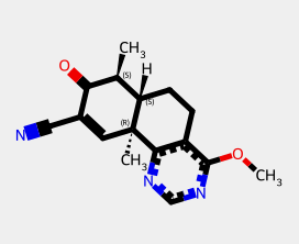 COc1ncnc2c1CC[C@H]1[C@H](C)C(=O)C(C#N)=C[C@]21C